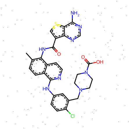 Cc1ccc2c(Nc3ccc(Cl)c(CN4CCN(C(=O)O)CC4)c3)nccc2c1NC(=O)c1csc2c(N)ncnc12